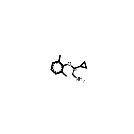 Cc1cccc(C)c1O[C@H](CN)C1CC1